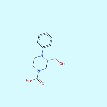 O=C(O)N1CCN(c2ccccc2)[C@H](CO)C1